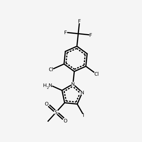 CS(=O)(=O)c1c(I)nn(-c2c(Cl)cc(C(F)(F)F)cc2Cl)c1N